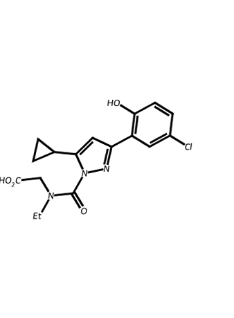 CCN(CC(=O)O)C(=O)n1nc(-c2cc(Cl)ccc2O)cc1C1CC1